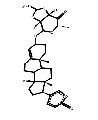 COC1O[C@@H]2C(=O)[C@H](C)OC(O[C@@H]3C=C4CCC5C(CC[C@]6(C)[C@@H](c7ccc(=O)oc7)CC[C@]56O)[C@@]4(C)CC3)[C@@H]2O1